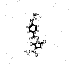 C[S+]([O-])C1CC(=O)N(OC(=O)c2ccc(N=NN)cc2)C1=O